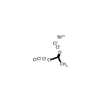 CC(=O)Cl.[Cl-].[Cl-].[Cl-].[Cl-].[Cl-].[Sb+5]